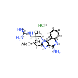 COCCc1nc2c(N)nc3ccccc3c2n1CC(C)(C)CNC(=N)N.Cl